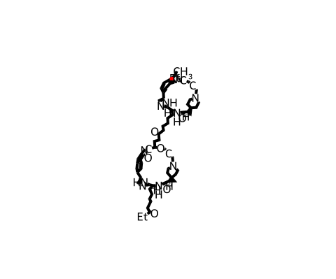 CCC(=O)CCCCC[C@@H]1NC(=O)[C@H]2CC23CCN(CCCOC(CCC(=O)CCCCC[C@@H]2NC(=O)[C@H]4CC45CCN(CCCCN4C(C)c6ccc(cc6C4CC)-c4cnc2[nH]4)CC5)Cn2ccc4cc(ccc4c2=O)-c2cnc1[nH]2)CC3